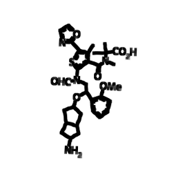 COc1ccccc1C(CN(C=O)c1sc(-c2ncco2)c(C)c1C(=O)N(C)C(C)(C)C(=O)O)OC1CC2CC(N)CC2C1